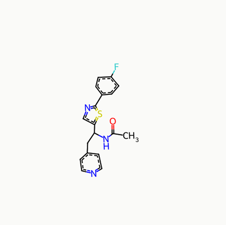 CC(=O)NC(Cc1ccncc1)c1cnc(-c2ccc(F)cc2)s1